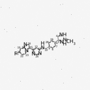 CN/N=C(\C=N)c1ccc(CNc2cc(-c3cnc4cc(F)ccn34)ncn2)cc1